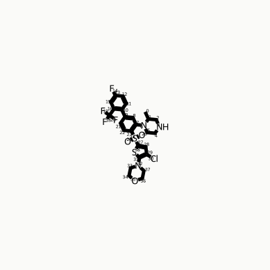 CC1CNCCN1c1cc(-c2ccc(F)cc2C(F)(F)F)ccc1S(=O)(=O)c1cc(Cl)c(N2CCOCC2)s1